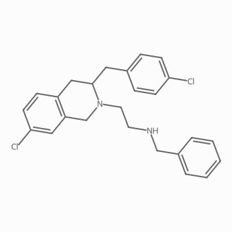 Clc1ccc(CC2Cc3ccc(Cl)cc3CN2CCNCc2ccccc2)cc1